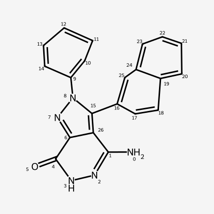 Nc1n[nH]c(=O)c2nn(-c3ccccc3)c(-c3ccc4ccccc4c3)c12